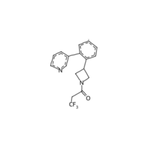 O=C(CC(F)(F)F)N1CC(c2cc[c]cc2-c2cccnc2)C1